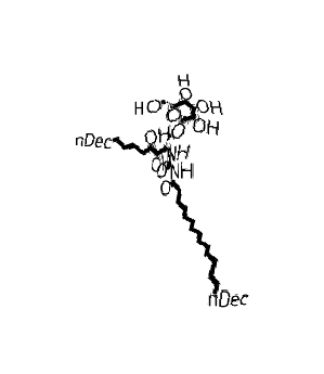 CCCCCCCCCCCCCCCCCCCCCCCC(=O)NC(=O)N[C@@H](CO[C@H]1O[C@H](CO)[C@H](O)[C@H](O)[C@H]1O)[C@H](O)[C@H](O)CCCCCCCCCCCCCC